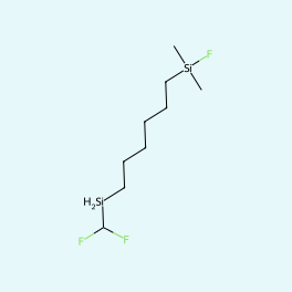 C[Si](C)(F)CCCCCC[SiH2]C(F)F